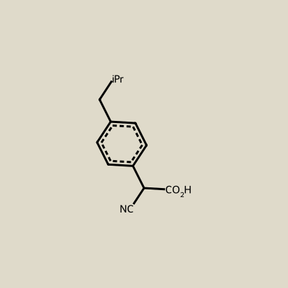 CC(C)Cc1ccc(C(C#N)C(=O)O)cc1